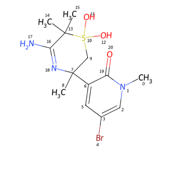 Cn1cc(Br)cc(C2(C)CS(O)(O)C(C)(C)C(N)=N2)c1=O